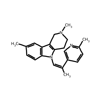 C/C(=C/n1c2c(c3cc(C)ccc31)CN(C)CC2)c1ccc(C)nc1